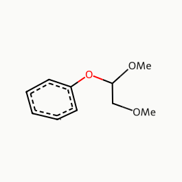 COCC(OC)Oc1c[c]ccc1